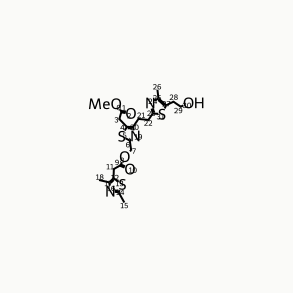 COC(=O)Cc1sc(COC(=O)Cc2sc(C)nc2C)nc1CCc1nc(C)c(CCO)s1